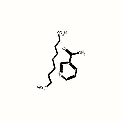 NC(=O)c1cccnc1.O=C(O)CCCCCCCC(=O)O